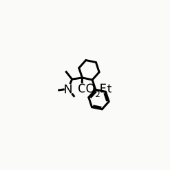 CCOC(=O)C1(C(C)N(C)C)CCCCC1c1ccccc1